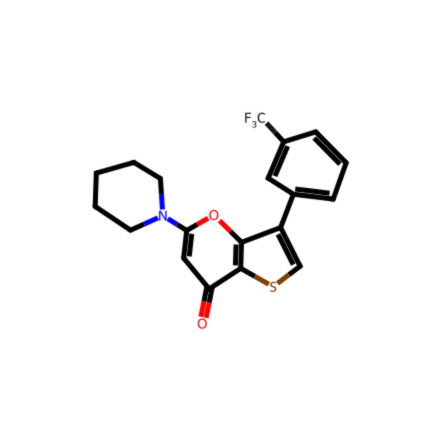 O=c1cc(N2CCCCC2)oc2c(-c3cccc(C(F)(F)F)c3)csc12